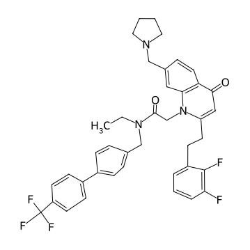 CCN(Cc1ccc(-c2ccc(C(F)(F)F)cc2)cc1)C(=O)Cn1c(CCc2cccc(F)c2F)cc(=O)c2ccc(CN3CCCC3)cc21